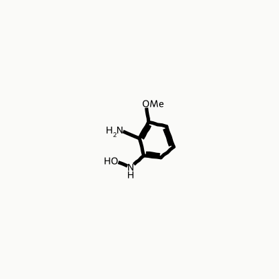 COc1cccc(NO)c1N